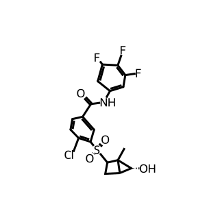 CC12C(CC1S(=O)(=O)c1cc(C(=O)Nc3cc(F)c(F)c(F)c3)ccc1Cl)[C@H]2O